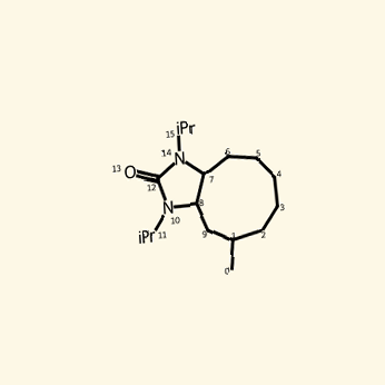 CC1CCCCCC2C(C1)N(C(C)C)C(=O)N2C(C)C